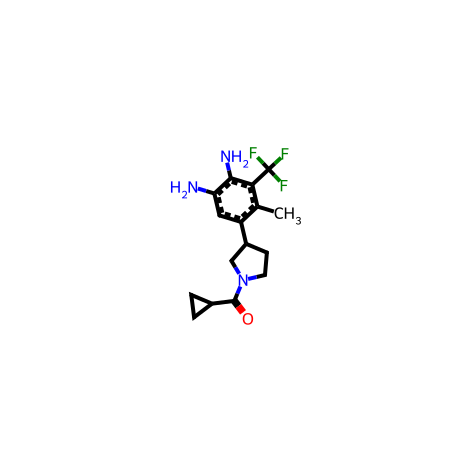 Cc1c(C2CCN(C(=O)C3CC3)C2)cc(N)c(N)c1C(F)(F)F